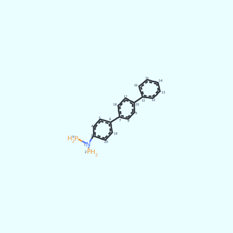 PN(P)c1ccc(-c2ccc(-c3ccccc3)cc2)cc1